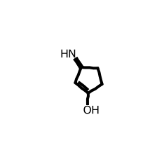 N=C1C=C(O)CC1